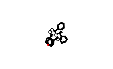 O=[C](c1ccccc1)[Ge]([C](=O)c1ccccc1)([C](=O)c1ccccc1)[C](=O)c1ccccc1